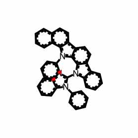 c1ccc(-n2c(-n3c4ccccc4c4ccc5c6ccc7ccccc7c6n(-c6ccccc6)c5c43)nc3ccccc32)cc1